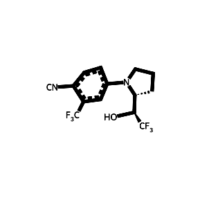 [C-]#[N+]c1ccc(N2CCC[C@@H]2[C@H](O)C(F)(F)F)cc1C(F)(F)F